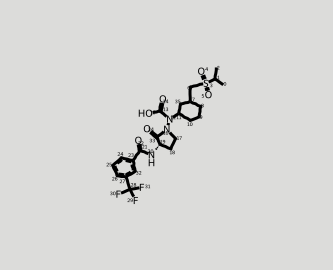 CC(C)S(=O)(=O)CC1CCCC(N(C(=O)O)N2CC[C@H](NC(=O)c3cccc(C(F)(F)F)c3)C2=O)C1